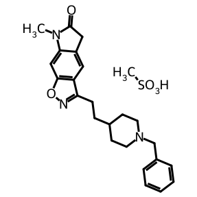 CN1C(=O)Cc2cc3c(CCC4CCN(Cc5ccccc5)CC4)noc3cc21.CS(=O)(=O)O